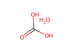 O.O=C(O)O